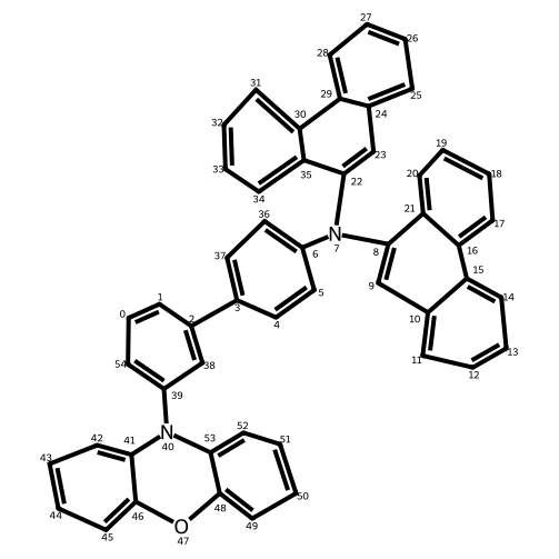 c1cc(-c2ccc(N(c3cc4ccccc4c4ccccc34)c3cc4ccccc4c4ccccc34)cc2)cc(N2c3ccccc3Oc3ccccc32)c1